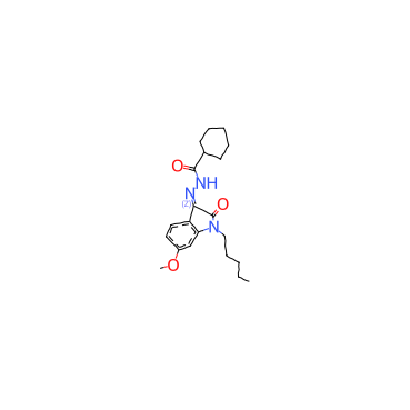 CCCCCN1C(=O)/C(=N\NC(=O)C2CCCCC2)c2ccc(OC)cc21